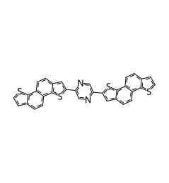 c1cc2ccc3c(ccc4cc(-c5cnc(-c6cc7ccc8c(ccc9ccsc98)c7s6)cn5)sc43)c2s1